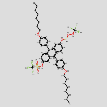 CCCCCCCCOc1ccc(-c2c3ccc(OS(=O)(=O)C(F)(F)F)cc3c(-c3ccc(OCCCCCCCC)cc3)c3ccc(OSOOC(F)(F)F)cc23)cc1